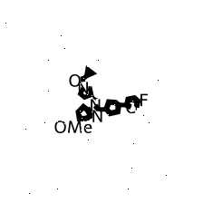 COc1cccc2c1nc(-c1ccc(-c3ccc(F)cc3)cc1)n2C[C@H]1CCN(C(=O)C2CC2)C1